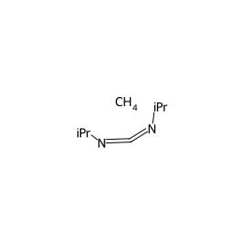 C.CC(C)N=C=NC(C)C